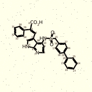 O=C(O)C(=Cc1c[nH]c2nccc(NS(=O)(=O)Cc3ccc(-c4ccccc4)cc3)c12)c1ccccc1